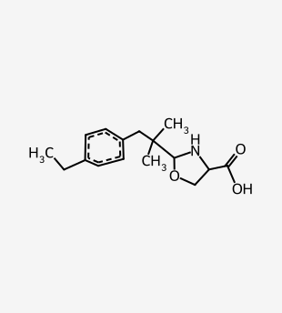 CCc1ccc(CC(C)(C)C2NC(C(=O)O)CO2)cc1